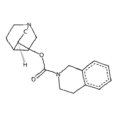 O=C(O[C@@H]1CN2CCC1CC2)N1CCc2ccccc2C1